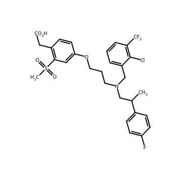 CC(CN(CCCOc1ccc(CC(=O)O)c(S(C)(=O)=O)c1)Cc1cccc(C(F)(F)F)c1Cl)c1ccc(F)cc1